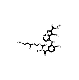 CCCNC(=O)c1cn2ncnc(Nc3cc(C(=O)N(CC)C(=O)OCOC(=O)CCC=O)ccc3C)c2c1C